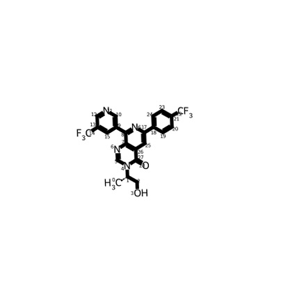 C[C@@H](CO)n1cnc2c(-c3cncc(C(F)(F)F)c3)nc(-c3ccc(C(F)(F)F)cc3)cc2c1=O